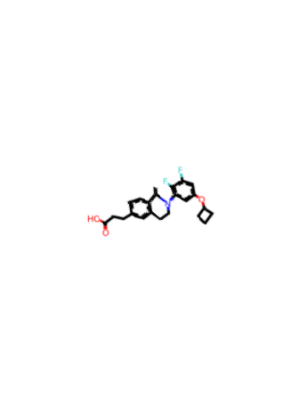 CC1c2ccc(CCC(=O)O)cc2CCN1c1cc(OC2CCC2)cc(F)c1F